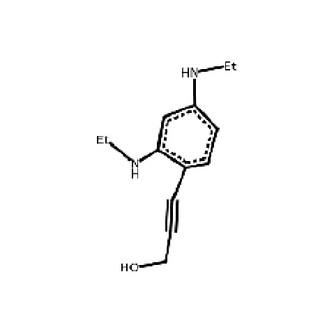 CCNc1ccc(C#CCO)c(NCC)c1